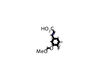 COCOc1cc(/C=C/C(=O)O)ccc1F